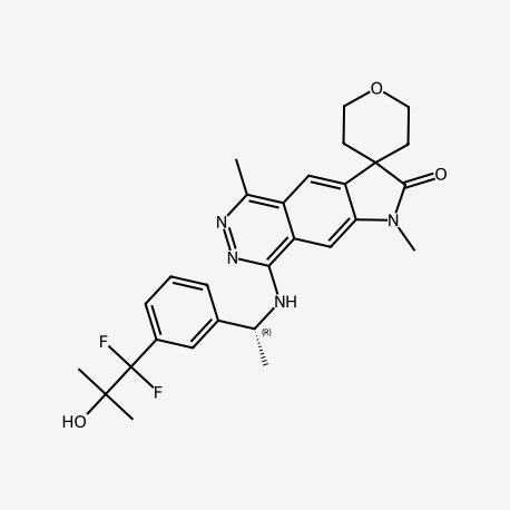 Cc1nnc(N[C@H](C)c2cccc(C(F)(F)C(C)(C)O)c2)c2cc3c(cc12)C1(CCOCC1)C(=O)N3C